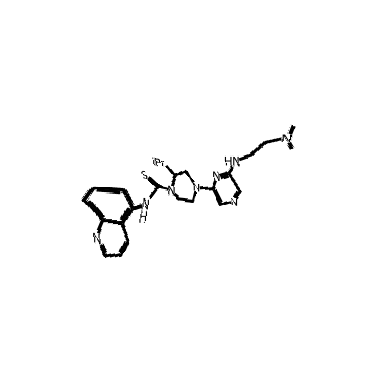 CC(C)C1CN(c2cncc(NCCN(C)C)n2)CCN1C(=S)Nc1cccc2ncccc12